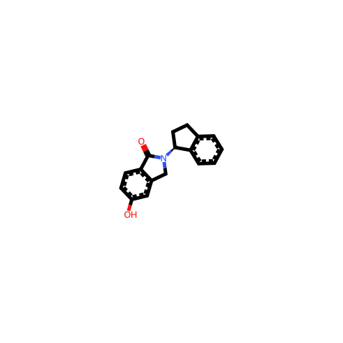 O=C1c2ccc(O)cc2CN1[C@H]1CCc2ccccc21